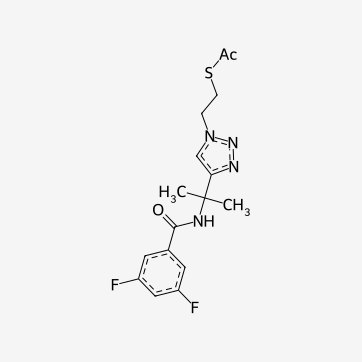 CC(=O)SCCn1cc(C(C)(C)NC(=O)c2cc(F)cc(F)c2)nn1